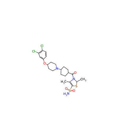 CC1=C(S(N)(=O)=O)SC(C)N1C(=O)C1CCC(N2CCC(Oc3ccc(Cl)c(Cl)c3)CC2)CC1